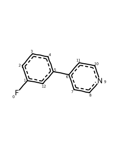 Fc1[c]ccc(-c2ccncc2)c1